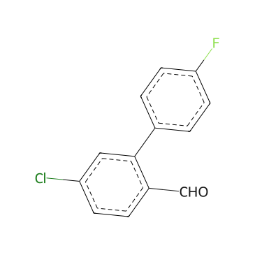 O=Cc1ccc(Cl)cc1-c1ccc(F)cc1